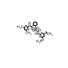 COc1cc(OC)nc(NC(=O)NS(=O)(=O)c2ccccc2C(=O)Nc2nc(C)cc(C)n2)n1